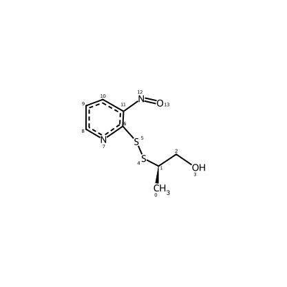 C[C@H](CO)SSc1ncccc1N=O